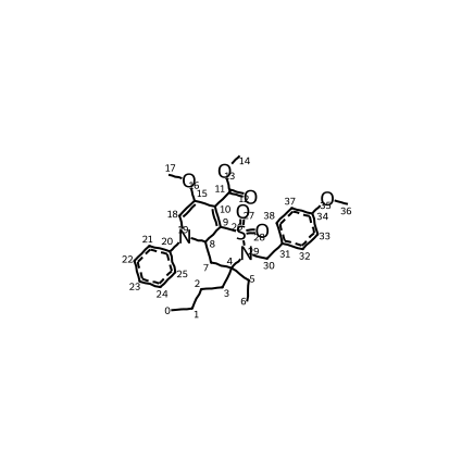 CCCCC1(CC)CC2C(=C(C(=O)OC)C(OC)=CN2c2ccccc2)S(=O)(=O)N1Cc1ccc(OC)cc1